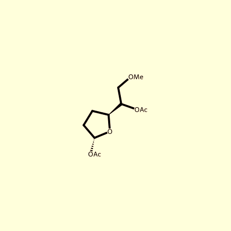 COCC(OC(C)=O)[C@@H]1CC[C@@H](OC(C)=O)O1